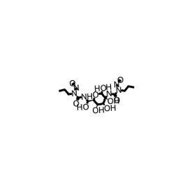 CCCN(N=O)C(=O)NC(O)[C@H]1OC(O)[C@@](O)(NC(=O)N(CCC)N=O)[C@@H](O)[C@@H]1O